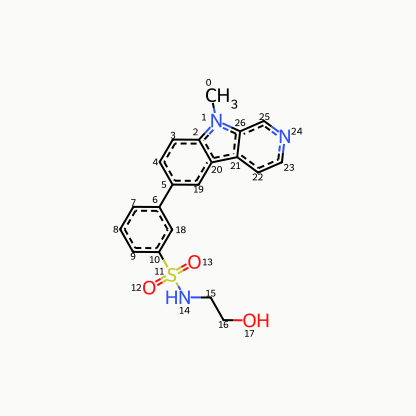 Cn1c2ccc(-c3cccc(S(=O)(=O)NCCO)c3)cc2c2ccncc21